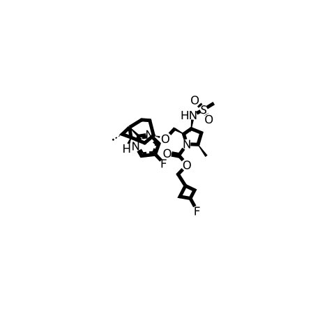 C[C@@H]1C[C@H](NS(C)(=O)=O)[C@H](CO[C@H]2CC[C@]3(c4ncc(F)cn4)[C@H](C2)[C@@H]3C)N1C(=O)OCC1CC(F)C1